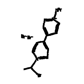 CCC[n+]1ccc(-c2cc[n+](C(C)Br)cc2)cc1.[Br-].[Br-]